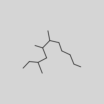 CCCCCC(C)C(C)CC(C)CC